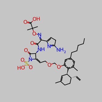 C=C[C@@H]1CCC(C)=C[C@H]1c1c(C)cc(CCCCC)cc1OCOC/C=C1\[C@H](NC(=O)/C(=N\OC(C)(C)C(=O)O)C2=CCC(N)=N2)C(=O)N1S(=O)(=O)O